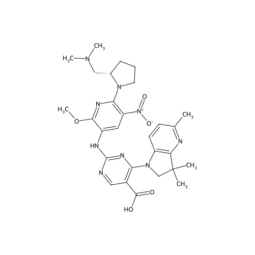 COc1nc(N2CCC[C@H]2CN(C)C)c([N+](=O)[O-])cc1Nc1ncc(C(=O)O)c(N2CC(C)(C)c3nc(C)ccc32)n1